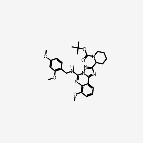 COc1ccc(CNc2nc3c(OC)cccc3c3nc(C4CCCCN4C(=O)OC(C)(C)C)nn23)c(OC)c1